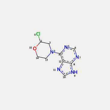 ClC1CN(c2ncnc3[nH]cnc23)CCO1